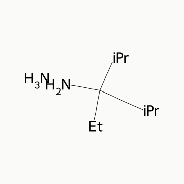 CCC(N)(C(C)C)C(C)C.N